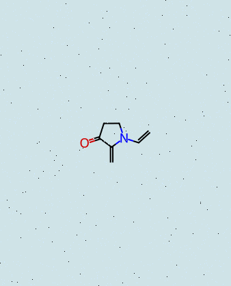 C=CN1CCC(=O)C1=C